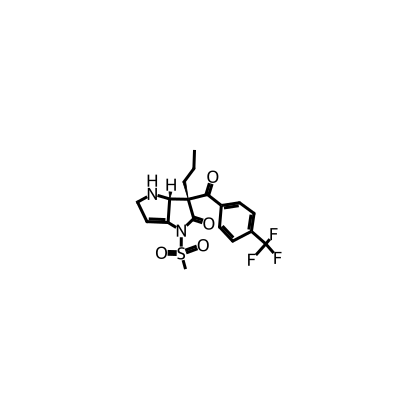 CCC[C@@]1(C(=O)c2ccc(C(F)(F)F)cc2)C(=O)N(S(C)(=O)=O)C2=CCN[C@@H]21